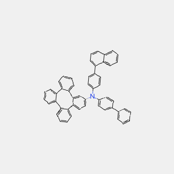 c1ccc(-c2ccc(N(c3ccc(-c4cccc5ccccc45)cc3)c3ccc4c(c3)-c3ccccc3-c3ccccc3-c3ccccc3-4)cc2)cc1